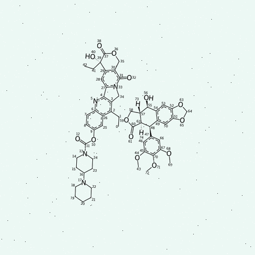 CCc1c2c(nc3ccc(OC(=O)N4CCC(N5CCCCC5)CC4)cc13)-c1cc3c(c(=O)n1C2)COC(=O)[C@]3(O)CC.COc1cc([C@@H]2c3cc4c(cc3[C@H](O)[C@H]3COC(=O)[C@H]23)OCO4)cc(OC)c1OC